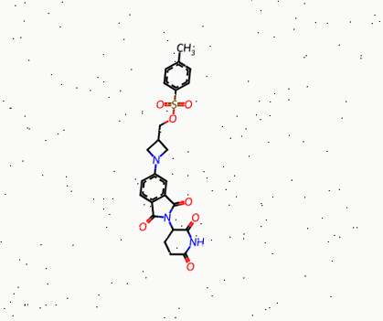 Cc1ccc(S(=O)(=O)OCC2CN(c3ccc4c(c3)C(=O)N(C3CCC(=O)NC3=O)C4=O)C2)cc1